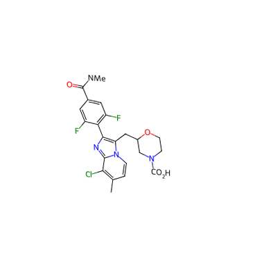 CNC(=O)c1cc(F)c(-c2nc3c(Cl)c(C)ccn3c2CC2CN(C(=O)O)CCO2)c(F)c1